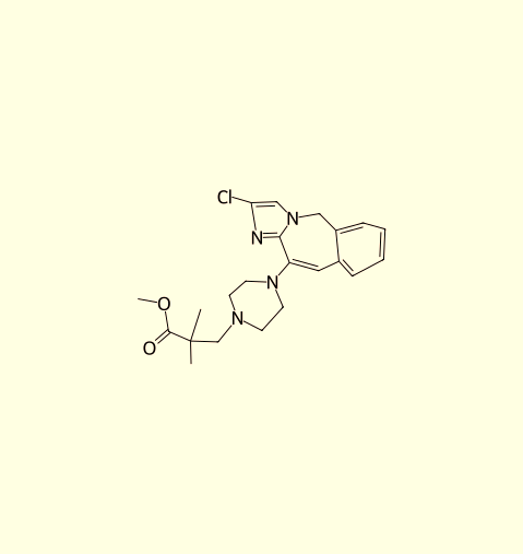 COC(=O)C(C)(C)CN1CCN(C2=Cc3ccccc3Cn3cc(Cl)nc32)CC1